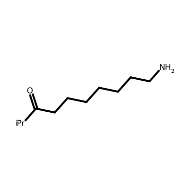 CC(C)C(=O)CCCCCCCN